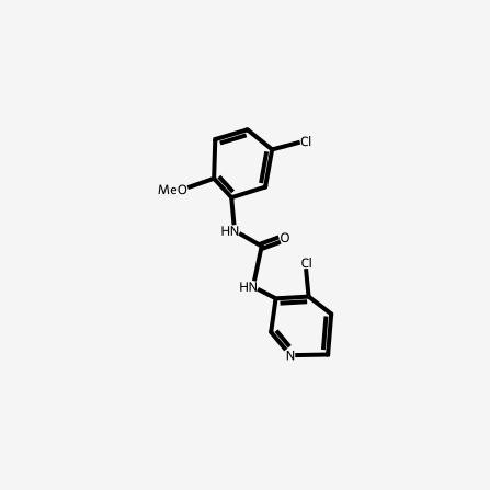 COc1ccc(Cl)cc1NC(=O)Nc1cnccc1Cl